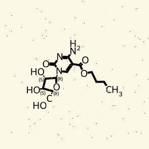 CCCCOC(=O)c1cn([C@@H]2O[C@H](CO)[C@@H](O)[C@@H]2O)c(=O)nc1N